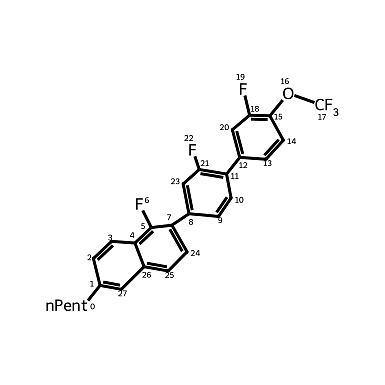 CCCCCc1ccc2c(F)c(-c3ccc(-c4ccc(OC(F)(F)F)c(F)c4)c(F)c3)ccc2c1